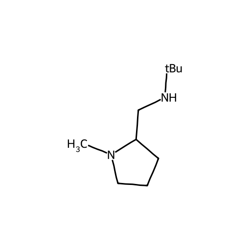 CN1CCCC1CNC(C)(C)C